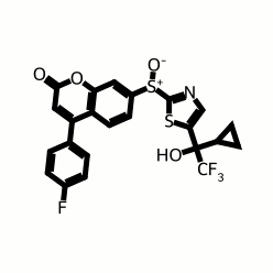 O=c1cc(-c2ccc(F)cc2)c2ccc([S+]([O-])c3ncc(C(O)(C4CC4)C(F)(F)F)s3)cc2o1